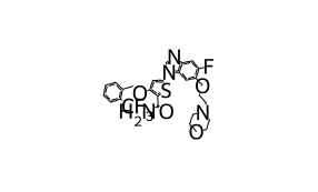 NC(=O)c1sc(-n2cnc3cc(F)c(OCCN4CCOCC4)cc32)cc1OCc1ccccc1C(F)(F)F